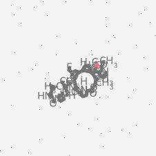 CCn1c(-c2cccnc2[C@H](C)OC)c2c3cc(ccc31)-c1cc(CF)cc(c1)C[C@H](NC(=O)C(C(C)C)N1CC[C@]3(CCN(C(=O)[C@@H]4NC4C4CC4)C3)C1)C(=O)N1CCC[C@H](N1)C(=O)OCC(C)(C)C2